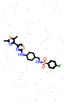 Cc1nc(-c2csc(NC3CCC(CNS(=O)(=O)c4ccc(F)cc4)CC3)n2)c(C)s1